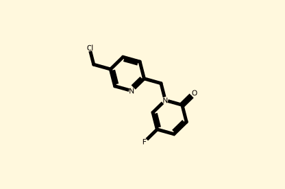 O=c1ccc(F)cn1Cc1ccc(CCl)cn1